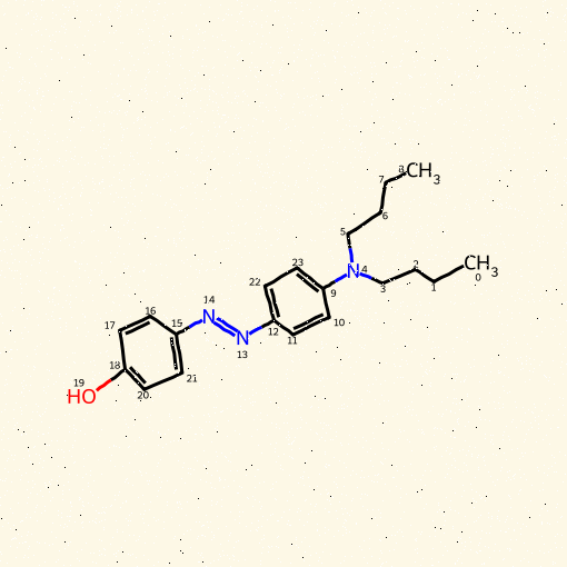 CCCCN(CCCC)c1ccc(N=Nc2ccc(O)cc2)cc1